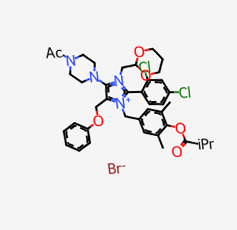 CC(=O)N1CCN(c2c(COc3ccccc3)[n+](Cc3cc(C)c(OC(=O)C(C)C)c(C)c3)c(-c3ccc(Cl)cc3Cl)n2CC2OCCCO2)CC1.[Br-]